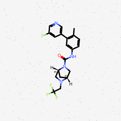 Cc1ccc(NC(=O)N2C[C@H]3C[C@@H]2CN3CC(F)(F)F)cc1-c1cncc(F)c1